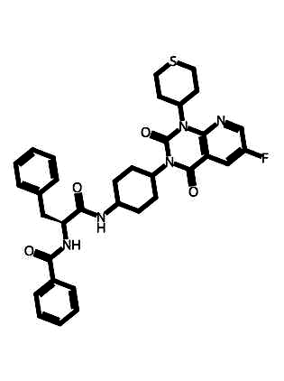 O=C(N[C@@H](Cc1ccccc1)C(=O)NC1CCC(n2c(=O)c3cc(F)cnc3n(C3CCSCC3)c2=O)CC1)c1ccccc1